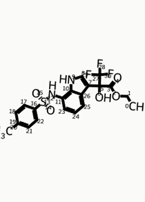 CCOC(=O)C(O)(c1c[nH]c2c(NS(=O)(=O)c3ccc(C)cc3)cccc12)C(F)(F)F